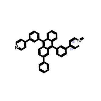 C=N/C=C\C(=C/C)c1cccc(-c2c3ccccc3c(-c3cccc(-c4ccncc4)c3)c3ccc(-c4ccccc4)cc23)c1